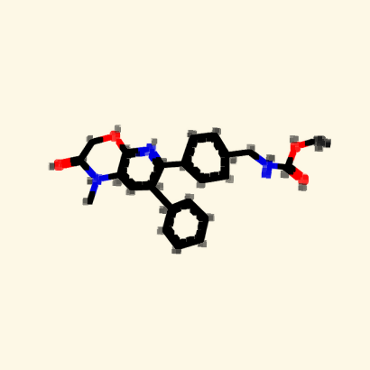 CN1C(=O)COc2nc(-c3ccc(CNC(=O)OC(C)(C)C)cc3)c(-c3ccccc3)cc21